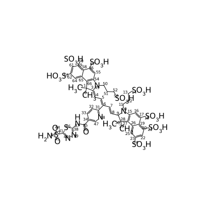 CC1(C)C(=CC=C(/C=C/C2N(CCCS(=O)(=O)O)c3cc(S(=O)(=O)O)c4c(S(=O)(=O)O)cc(S(=O)(=O)O)cc4c3C2(C)C)c2ccc(C(=O)Nc3nnc(S(N)(=O)=O)s3)cn2)N(CCCS(=O)(=O)O)c2cc(S(=O)(=O)O)c3c(S(=O)(=O)O)cc(S(=O)(=O)O)cc3c21